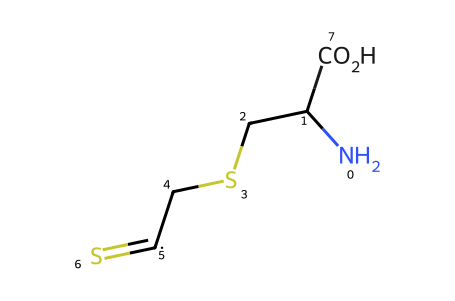 NC(CSC[C]=S)C(=O)O